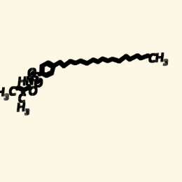 CCCCCCCCCCCCCCCCCCc1ccc(S(=O)(=O)NC(=O)C(C)CC)cc1